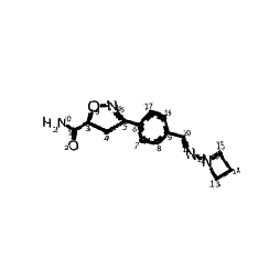 NC(=O)C1CC(c2ccc(C=NN3CCC3)cc2)=NO1